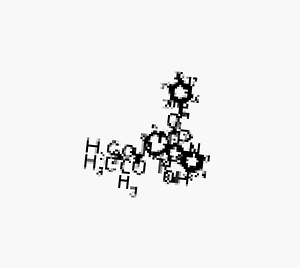 CC(C)(C)OC(=O)N1CCN(C(=O)OCc2ccccc2)C(C=NO)(Cc2ccccn2)C1